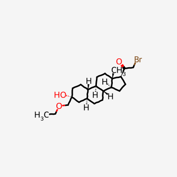 CCOC[C@@]1(O)CC[C@H]2[C@@H](CC[C@@H]3[C@@H]2CC[C@]2(C)[C@@H](C(=O)CBr)CC[C@@H]32)C1